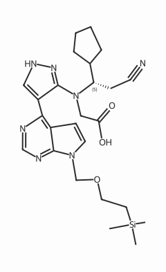 C[Si](C)(C)CCOCn1ccc2c(-c3c[nH]nc3N(CC(=O)O)[C@@H](CC#N)C3CCCC3)ncnc21